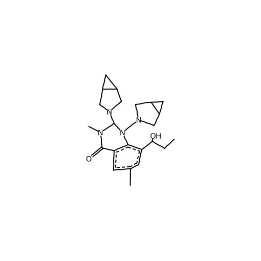 CCC(O)c1cc(C)cc2c1N(N1CC3CC3C1)C(N1CC3CC3C1)N(C)C2=O